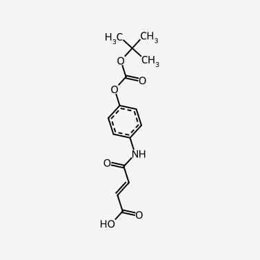 CC(C)(C)OC(=O)Oc1ccc(NC(=O)C=CC(=O)O)cc1